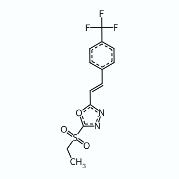 CCS(=O)(=O)c1nnc(/C=C/c2ccc(C(F)(F)F)cc2)o1